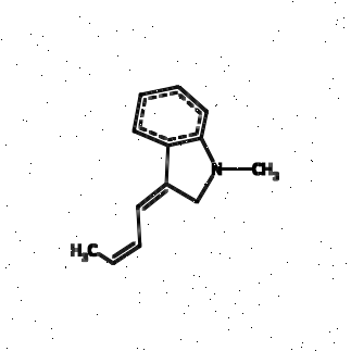 C/C=C\C=C1/CN(C)c2ccccc21